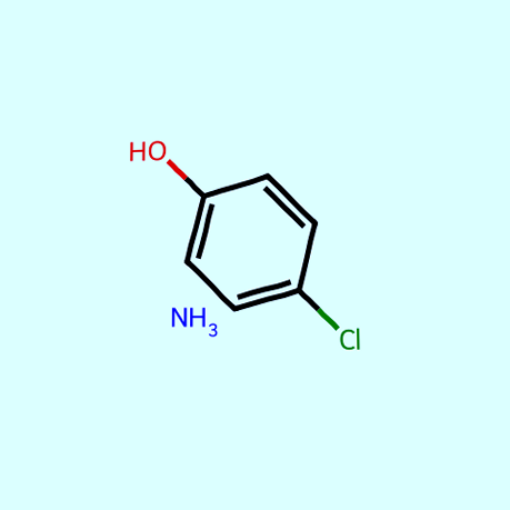 N.Oc1ccc(Cl)cc1